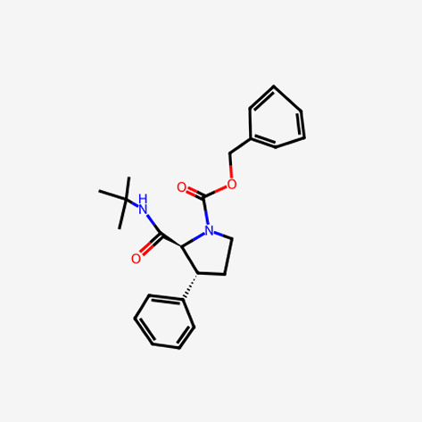 CC(C)(C)NC(=O)[C@@H]1[C@@H](c2ccccc2)CCN1C(=O)OCc1ccccc1